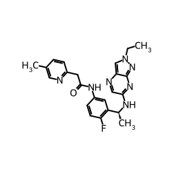 CCn1cc2ncc(N[C@@H](C)c3cc(NC(=O)Cc4ccc(C)cn4)ccc3F)nc2n1